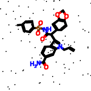 C=CCn1cc(C(C(=O)NS(=O)(=O)c2ccc(C)cc2)c2ccc3c(c2)OCO3)c2ccc(C(N)=O)cc21